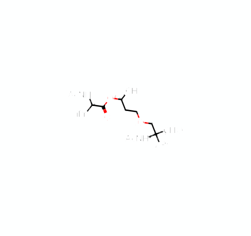 CC(=O)NC(C(=O)OC(C)CCOCC(C=O)(NC(C)=O)C(C)C)C(C)C